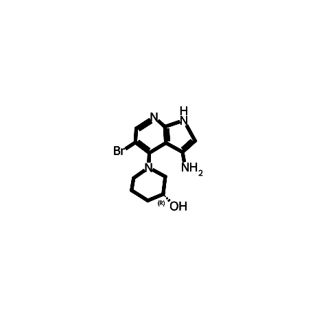 Nc1c[nH]c2ncc(Br)c(N3CCC[C@@H](O)C3)c12